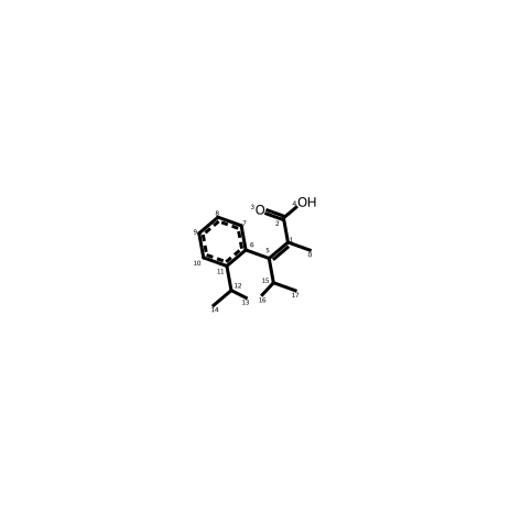 CC(C(=O)O)=C(c1ccccc1C(C)C)C(C)C